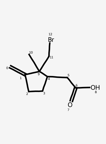 C=C1CCC(CC(=O)O)C1(C)CBr